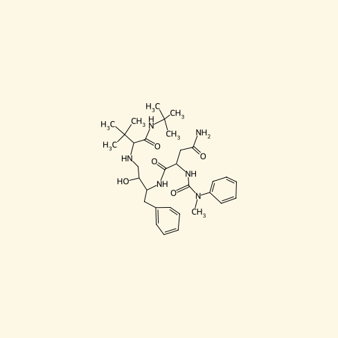 CN(C(=O)NC(CC(N)=O)C(=O)NC(Cc1ccccc1)C(O)CNC(C(=O)NC(C)(C)C)C(C)(C)C)c1ccccc1